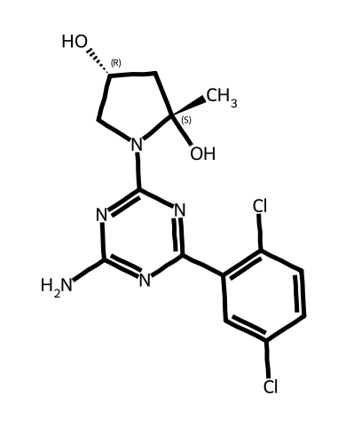 C[C@]1(O)C[C@@H](O)CN1c1nc(N)nc(-c2cc(Cl)ccc2Cl)n1